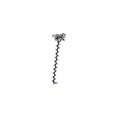 C/C=C\CCCCCCCCCCCCCCCCCCCCOP(=O)(O)C(CCC)[N+](C)(C)C